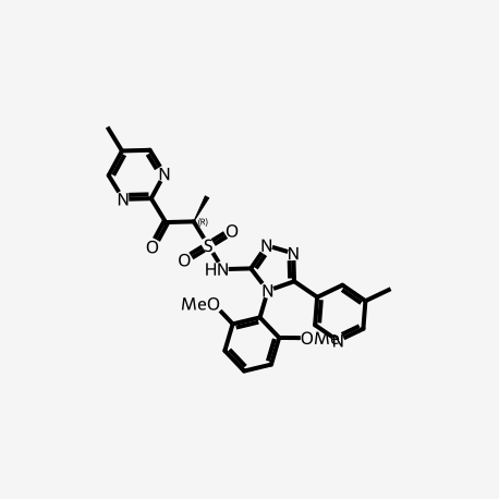 COc1cccc(OC)c1-n1c(NS(=O)(=O)[C@H](C)C(=O)c2ncc(C)cn2)nnc1-c1cncc(C)c1